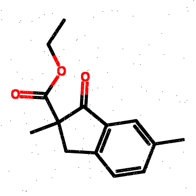 CCOC(=O)C1(C)Cc2ccc(C)cc2C1=O